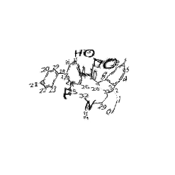 CC[C@@H](c1ccccc1CC(C(=O)O)c1ccc(-c2ccccc2)c(F)c1)[C@@H](C)CN(C)C